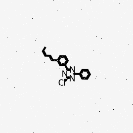 C/C=C\C=C\c1cccc(-c2nc(Cl)nc(-c3ccccc3)n2)c1